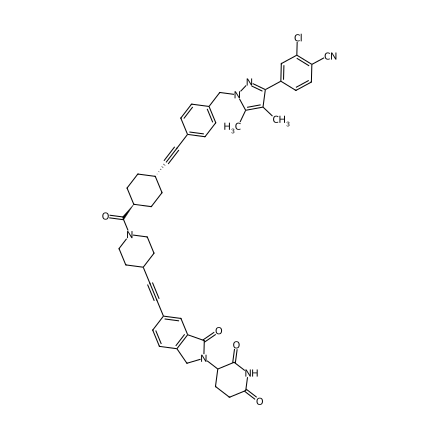 Cc1c(-c2ccc(C#N)c(Cl)c2)nn(Cc2ccc(C#C[C@H]3CC[C@H](C(=O)N4CCC(C#Cc5ccc6c(c5)C(=O)N(C5CCC(=O)NC5=O)C6)CC4)CC3)cc2)c1C